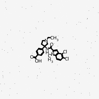 CCN1CCC(NC(=O)c2cc3c(Cl)c(Cl)ccc3n2C)(c2ccc(C(=O)O)cc2)C1